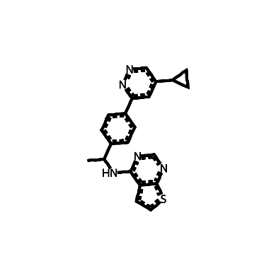 CC(Nc1ncnc2sccc12)c1ccc(-c2cc(C3CC3)cnn2)cc1